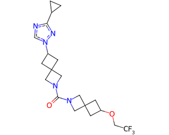 O=C(N1CC2(CC(OCC(F)(F)F)C2)C1)N1CC2(CC(n3cnc(C4CC4)n3)C2)C1